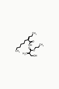 C=C(CO)C(=O)OCCC.CCC=C(CCCCCC)C(=O)O